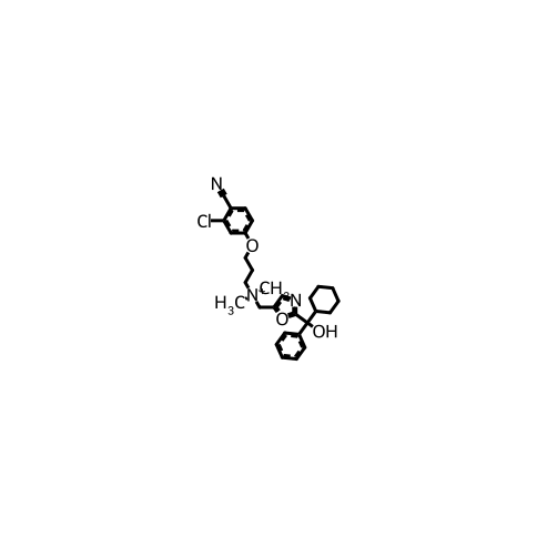 C[N+](C)(CCCOc1ccc(C#N)c(Cl)c1)Cc1cnc(C(O)(c2ccccc2)C2CCCCC2)o1